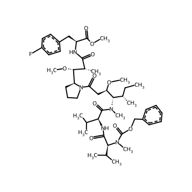 CC[C@H](C)[C@@H]([C@@H](CC(=O)N1CCC[C@H]1[C@H](OC)[C@@H](C)C(=O)N[C@@H](Cc1ccc(F)cc1)C(=O)OC)OC)N(C)C(=O)[C@@H](NC(=O)[C@H](C(C)C)N(C)C(=O)OCc1ccccc1)C(C)C